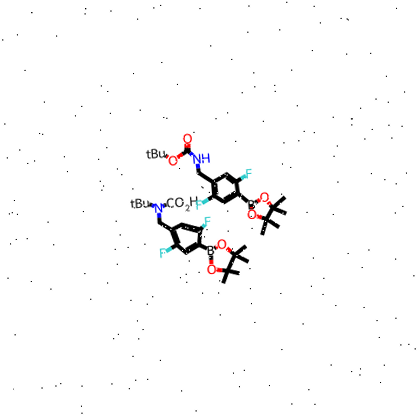 CC(C)(C)N(Cc1cc(F)c(B2OC(C)(C)C(C)(C)O2)cc1F)C(=O)O.CC(C)(C)OC(=O)NCc1cc(F)c(B2OC(C)(C)C(C)(C)O2)cc1F